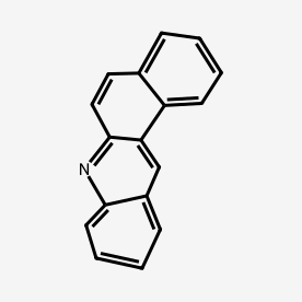 c1ccc2nc3ccc4ccccc4c3cc2c1